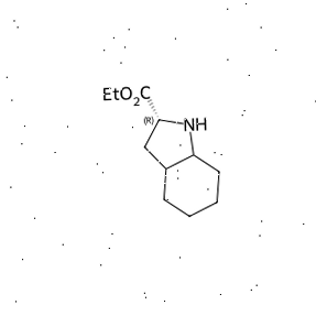 CCOC(=O)[C@H]1CC2CCCCC2N1